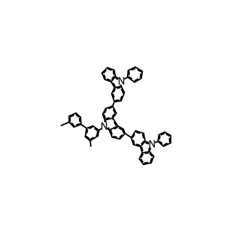 Cc1cccc(-c2cc(C)cc(-n3c4ccc(-c5ccc6c(c5)c5ccccc5n6-c5ccccc5)cc4c4cc(-c5ccc6c(c5)c5ccccc5n6-c5ccccc5)ccc43)c2)c1